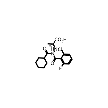 C[C@H](NN(C(=O)c1c(F)cccc1Cl)C(=O)C1CCCCC1)C(=O)O